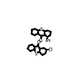 CC(C)c1cccc2sc3ccccc3c(=O)c12.O=c1c2ccccc2sc2ccc(Cl)cc12